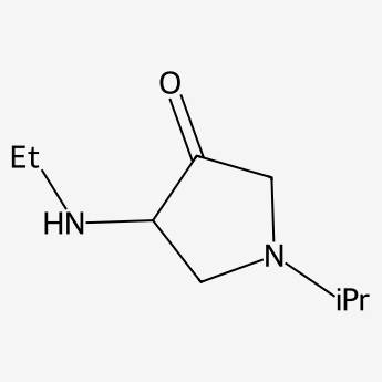 CCNC1CN(C(C)C)CC1=O